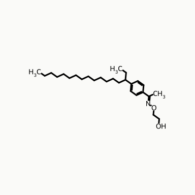 CCCCCCCCCCCCCCC(CC)c1ccc(/C(C)=N/OCCO)cc1